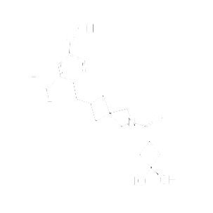 COc1ccc(CC2CC3(C2)CN(C(=O)[C@H]2C[C@@](C)(O)C2)C3)c(C(F)F)c1